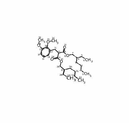 CCCCC(CC)COC(=O)C(Cc1cccc(OC)c1OC)C(=O)OCC(CC)CCCC